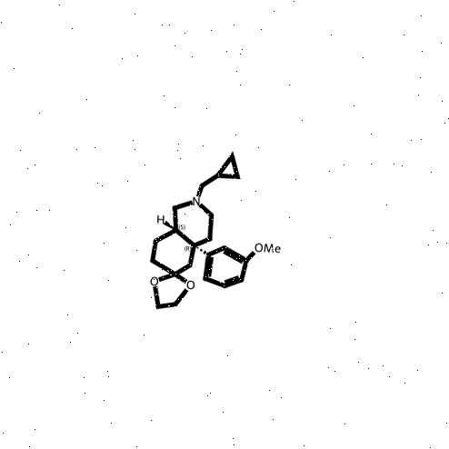 COc1cccc([C@@]23CCN(CC4CC4)C[C@H]2CCC2(C3)OCCO2)c1